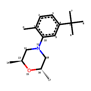 Cc1ccc(C(C)(C)C)cc1N1C[C@H](C)O[C@@H](C)C1